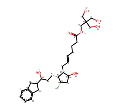 O=C(CCCC=CC[C@@H]1[C@@H](CCC(O)C2Cc3ccccc3C2)[C@@H](F)C[C@@H]1O)OCC(CO)(CO)CO